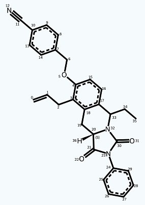 C=CCc1c(OCc2ccc(C#N)cc2)ccc2c1C[C@H]1C(=O)N(c3ccccc3)C(=O)N1C2CC